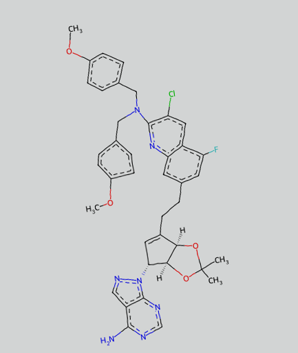 COc1ccc(CN(Cc2ccc(OC)cc2)c2nc3cc(CCC4=C[C@@H](n5ncc6c(N)ncnc65)[C@@H]5OC(C)(C)O[C@H]45)cc(F)c3cc2Cl)cc1